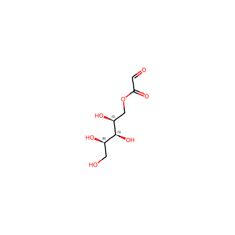 O=CC(=O)OC[C@H](O)[C@@H](O)[C@H](O)CO